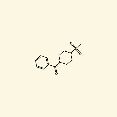 CS(=O)(=O)N1CCN(C(=O)c2ccccc2)CC1